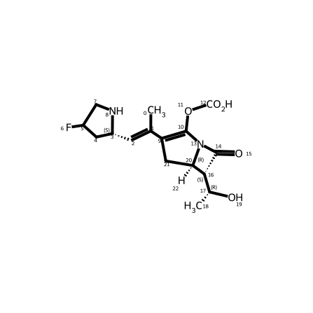 CC(=C[C@@H]1CC(F)CN1)C1=C(OC(=O)O)N2C(=O)[C@H]([C@@H](C)O)[C@H]2C1